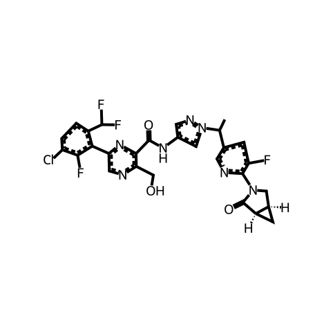 CC(c1cnc(N2C[C@H]3C[C@H]3C2=O)c(F)c1)n1cc(NC(=O)c2nc(-c3c(C(F)F)ccc(Cl)c3F)cnc2CO)cn1